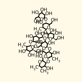 CC1C(O)[C@H](O)[C@H](CO)O[C@H]1O[C@@H]1C(O)[C@H](O)C(CO)O[C@@H]1OCC1O[C@@H](O[C@@H]2C(CO)O[C@@H](O[C@@H]3C(CO)O[C@@H](C)[C@@H](C)C3O)[C@@H](C)C2O)[C@H](O)C(O[C@H]2O[C@H](CO)[C@@H](O)C(O)C2O[C@@H]2OC(CO)[C@@H](O[C@@H]3OC(CO)[C@H](O)C(O)[C@@H]3O)C(O)[C@@H]2C)[C@@H]1O